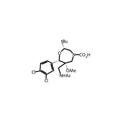 CO[C@@]1(CNC(C)=O)CN(C(=O)O)C[C@@H](C(C)(C)C)O[C@H]1c1ccc(Cl)c(Cl)c1